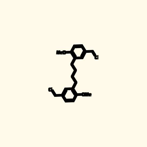 COc1ccc(CCl)cc1CCCCc1cc(CCl)ccc1OC